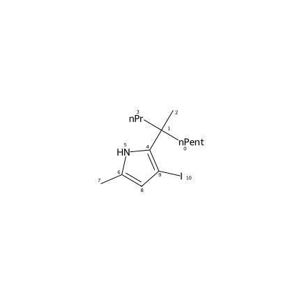 CCCCCC(C)(CCC)c1[nH]c(C)cc1I